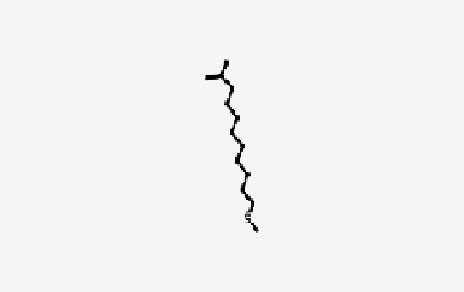 CSCCCCCCCCCC(C)C